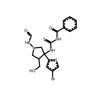 O=CBN1CC(CO)C(NC(=S)NC(=O)c2ccccc2)(c2cc(Br)cs2)C1